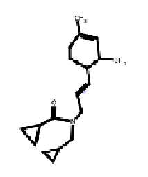 CC1=CC(C)C(/C=C/CN(CC2CC2)C(=O)C2CC2)CC1